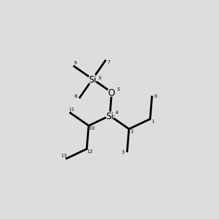 CCC(C)[Si](O[Si](C)(C)C)C(C)CC